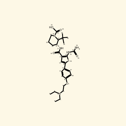 CCN(CC)CCOc1ccc(-c2cc(C(=O)N[C@@H]3CCCN(C(=O)O)C3C(C)(C)C)c(NC(N)=O)s2)cc1